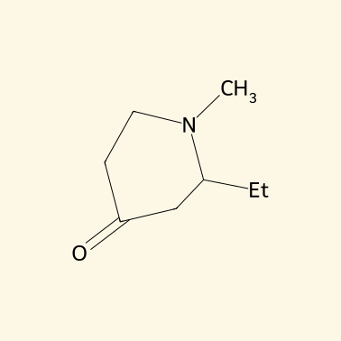 CCC1CC(=O)CCN1C